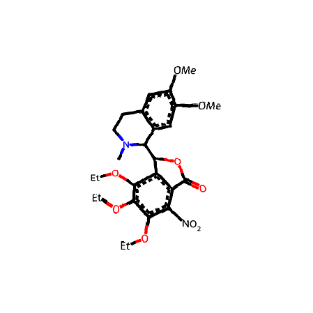 CCOc1c(OCC)c2c(c([N+](=O)[O-])c1OCC)C(=O)OC2C1c2cc(OC)c(OC)cc2CCN1C